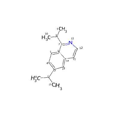 CC(C)c1ccc2c(C(C)C)nccc2c1